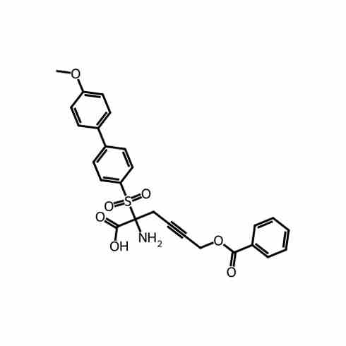 COc1ccc(-c2ccc(S(=O)(=O)C(N)(CC#CCOC(=O)c3ccccc3)C(=O)O)cc2)cc1